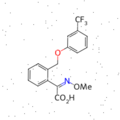 CON=C(C(=O)O)c1ccccc1COc1cccc(C(F)(F)F)c1